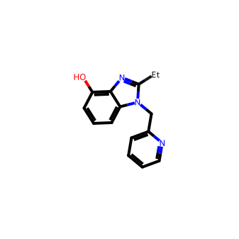 CCc1nc2c(O)cccc2n1Cc1ccccn1